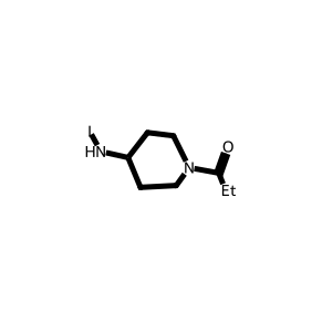 CCC(=O)N1CCC(NI)CC1